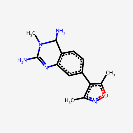 Cc1noc(C)c1-c1ccc2c(c1)N=C(N)N(C)C2N